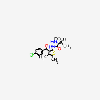 Cc1sc(NC(=O)[C@@]2(NC(=O)O)C[C@@H]2C)c(C(=O)c2ccc(Cl)cc2)c1C